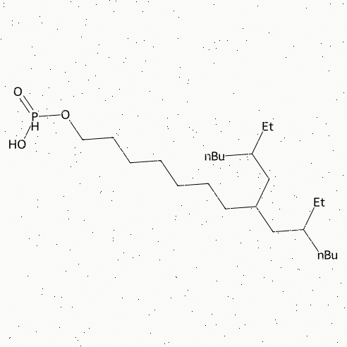 CCCCC(CC)CC(CCCCCCCO[PH](=O)O)CC(CC)CCCC